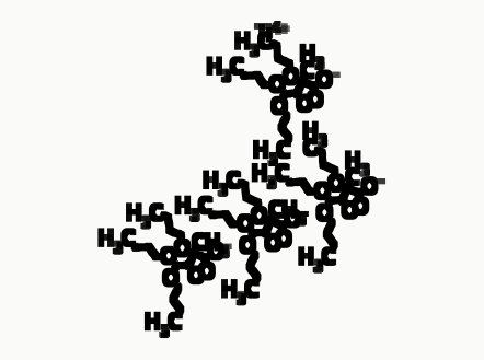 CCCCOC(OCCCC)C(=O)C(C)(OCCCC)C(=O)[O-].CCCCOC(OCCCC)C(=O)C(C)(OCCCC)C(=O)[O-].CCCCOC(OCCCC)C(=O)C(C)(OCCCC)C(=O)[O-].CCCCOC(OCCCC)C(=O)C(C)(OCCCC)C(=O)[O-].[Ti+4]